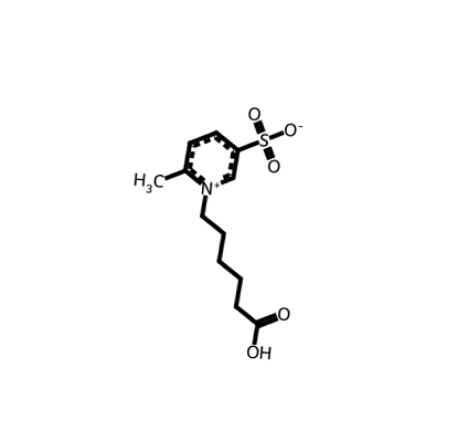 Cc1ccc(S(=O)(=O)[O-])c[n+]1CCCCCC(=O)O